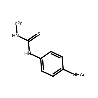 CCCNC(=S)Nc1ccc(NC(C)=O)cc1